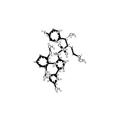 COCC[C@@H]([C@@H](C)c1ncc(F)cn1)S(=O)(=O)Nc1nnc(-c2nc(C)cs2)n1-c1c(OC)cccc1OC